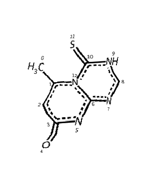 Cc1cc(=O)nc2nc[nH]c(=S)n12